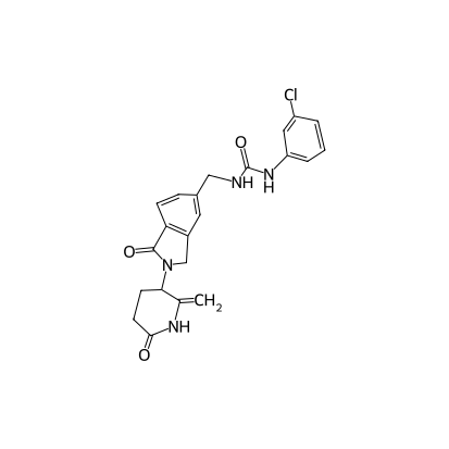 C=C1NC(=O)CCC1N1Cc2cc(CNC(=O)Nc3cccc(Cl)c3)ccc2C1=O